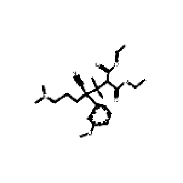 CCOC(=O)C(C(=O)OCC)C(C)(C)C(C#N)(CCCN(C)C)c1cccc(OC)c1